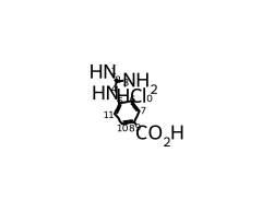 Cl.N=C(N)Nc1ccc(C(=O)O)cc1